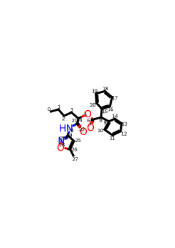 CCCCC(OC(=O)C(c1ccccc1)c1ccccc1)C(=O)Nc1cc(C)on1